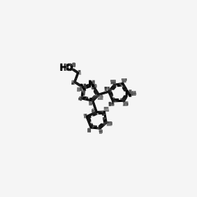 OCCn1cc(-c2ccccc2)c(-c2ccncc2)n1